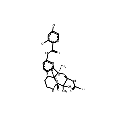 CC1(C)C(NC(=O)O)=N[C@](C)(c2nc(NC(=O)c3ncc(Cl)cc3Cl)ccc2F)[C@H]2CCCN[SH]21=O